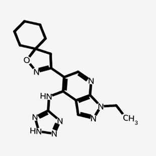 CCn1ncc2c(Nc3nn[nH]n3)c(C3=NOC4(CCCCC4)C3)cnc21